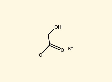 O=C([O-])CO.[K+]